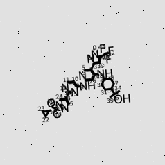 Cn1nc(-c2cnc(Nc3ccnc(-c4cnn(S(=O)(=O)C5CC5)c4)n3)cc2NC2CCC(C(C)(C)O)CC2)cc1C(F)(F)F